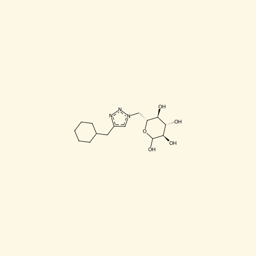 OC1O[C@H](Cn2cc(CC3CCCCC3)nn2)[C@@H](O)[C@H](O)[C@H]1O